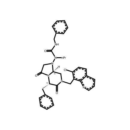 CCCN(C(=O)NCc1ccccc1)N1CC(=O)N2[C@@H](Cc3ccccc3)C(=O)N(Cc3c(Cl)ccc4cccnc34)C[C@@H]21